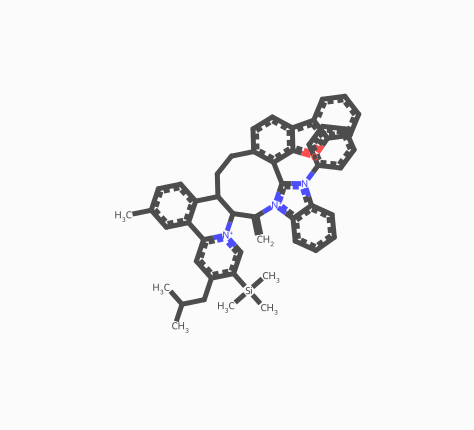 C=C1C2C(CCc3ccc4c(oc5ccccc54)c3-c3n(-c4ccccc4)c4ccccc4[n+]31)c1ccc(C)cc1-c1cc(CC(C)C)c([Si](C)(C)C)c[n+]12